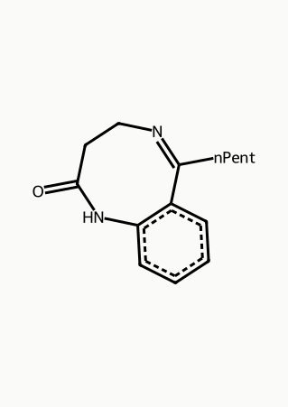 CCCCC/C1=N/CCC(=O)Nc2ccccc21